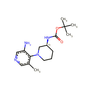 Cc1cncc(N)c1N1CCC[C@H](NC(=O)OC(C)(C)C)C1